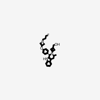 CC1Cc2c([nH]c3ccccc23)[C@@H](c2ccc(OC3CN(CCCF)C3)cc2)N1C12CC(CO)(C1)C2